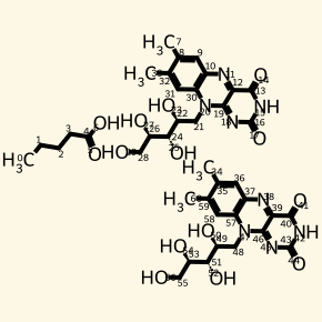 CCCCC(=O)O.Cc1cc2nc3c(=O)[nH]c(=O)nc-3n(C[C@H](O)[C@H](O)[C@H](O)CO)c2cc1C.Cc1cc2nc3c(=O)[nH]c(=O)nc-3n(C[C@H](O)[C@H](O)[C@H](O)CO)c2cc1C